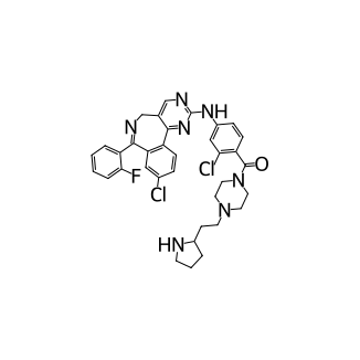 O=C(c1ccc(Nc2ncc3c(n2)-c2ccc(Cl)cc2C(c2ccccc2F)=NC3)cc1Cl)N1CCN(CCC2CCCN2)CC1